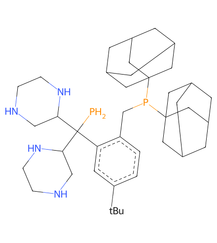 CC(C)(C)c1ccc(CP(C23CC4CC(CC(C4)C2)C3)C23CC4CC(CC(C4)C2)C3)c(C(P)(C2CNCCN2)C2CNCCN2)c1